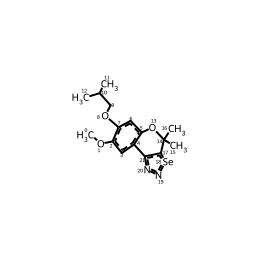 COc1cc2c(cc1OCC(C)C)OC(C)(C)c1[se]nnc1-2